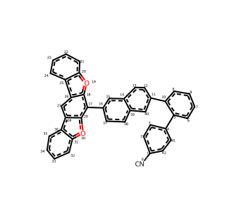 [C-]#[N+]c1ccc(-c2ccccc2-c2ccc3cc(-c4c5oc6ccccc6c5cc5c4oc4ccccc45)ccc3c2)cc1